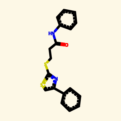 O=C(CCSc1nc(-c2ccccc2)cs1)Nc1ccccc1